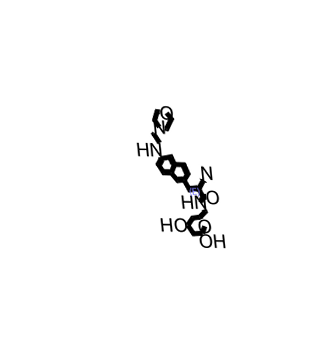 N#C/C(=C\c1ccc2cc(NCCN3CCOCC3)ccc2c1)C(=O)NCC1CC(O)CC(O)O1